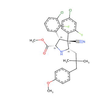 COC(=O)[C@H]1N[C@@H](CC(C)(C)Cc2ccc(OC)cc2)[C@@](C#N)(c2ccc(Cl)cc2F)[C@H]1c1cccc(Cl)c1F